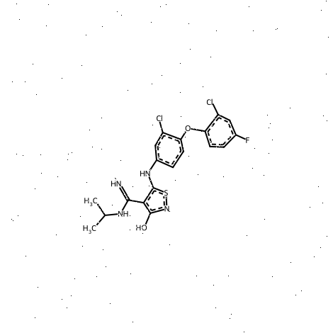 CC(C)NC(=N)c1c(O)nsc1Nc1ccc(Oc2ccc(F)cc2Cl)c(Cl)c1